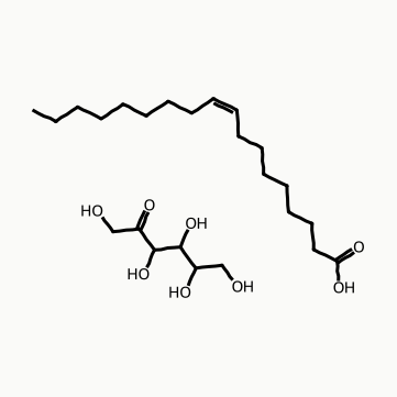 CCCCCCCC/C=C\CCCCCCCC(=O)O.O=C(CO)C(O)C(O)C(O)CO